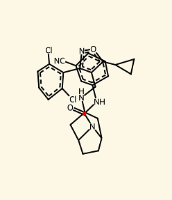 N#Cc1cccc(NC(=O)N2C3CCC2CC(NCc2c(-c4c(Cl)cccc4Cl)noc2C2CC2)C3)c1